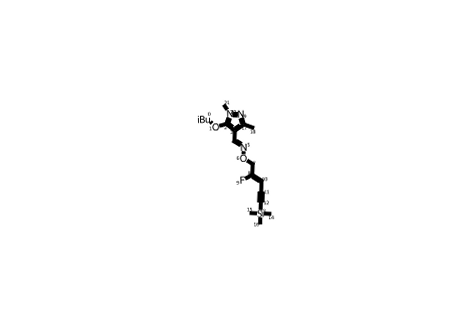 CCC(C)Oc1c(C=NOCC(F)=CC#C[Si](C)(C)C)c(C)nn1C